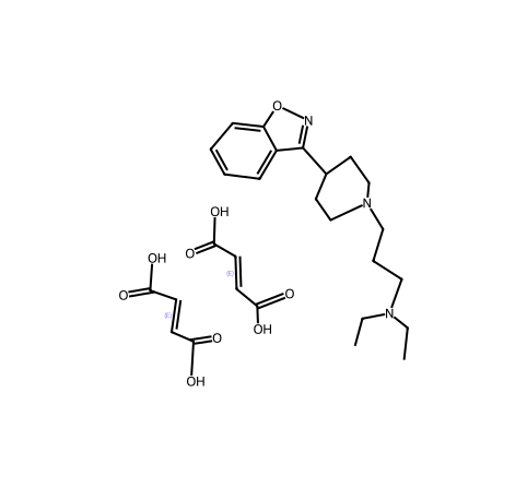 CCN(CC)CCCN1CCC(c2noc3ccccc23)CC1.O=C(O)/C=C/C(=O)O.O=C(O)/C=C/C(=O)O